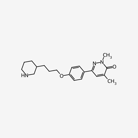 Cc1cc(-c2ccc(OCCCC3CCCNC3)cc2)nn(C)c1=O